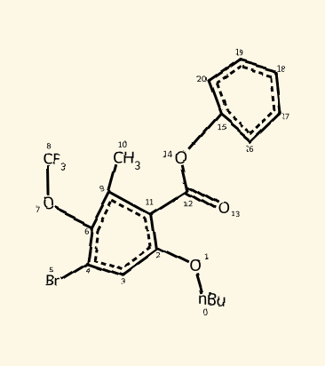 CCCCOc1cc(Br)c(OC(F)(F)F)c(C)c1C(=O)Oc1ccccc1